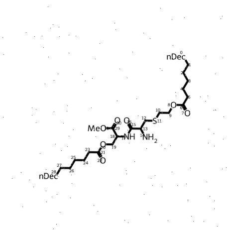 CCCCCCCCCCCCCCCC(=O)OCCSCC(N)C(=O)NC(COC(=O)CCCCCCCCCCCCCCC)C(=O)OC